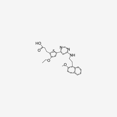 CCOc1cc(-c2cc(NCCc3c(OC)ccc4ccccc34)ncn2)sc1CCC(=O)O